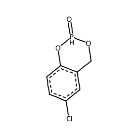 O=[PH]1OCc2cc(Cl)ccc2O1